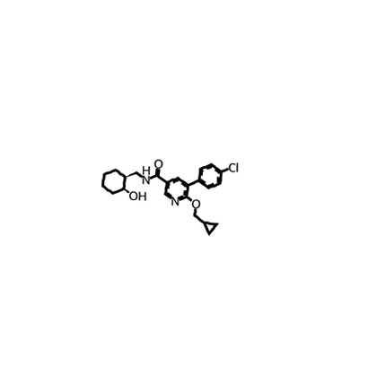 O=C(NC[C@@H]1CCCC[C@@H]1O)c1cnc(OCC2CC2)c(-c2ccc(Cl)cc2)c1